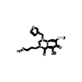 CC(C)OCCCN1CN(Cc2ccoc2)n2cc(C=O)c(=O)c(O)c2C1=O